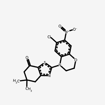 CC1(C)CC(=O)c2sc(N3CCOc4cc([N+](=O)[O-])c(Cl)cc43)nc2C1